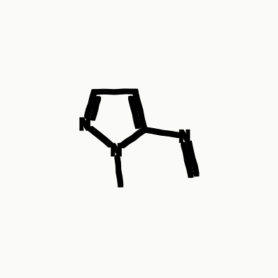 C=Nc1ccnn1C